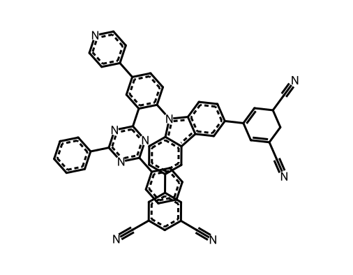 N#CC1=CC(c2ccc3c(c2)c2cc(-c4cc(C#N)cc(C#N)c4)ccc2n3-c2ccc(-c3ccncc3)cc2-c2nc(-c3ccccc3)nc(-c3ccccc3)n2)=CC(C#N)C1